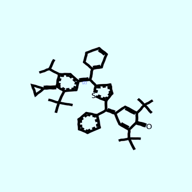 CC(C)c1c/c(=C(\C2=CC=CCC2)c2ccc(C(=C3C=C(C(C)(C)C)C(=O)C(C(C)(C)C)=C3)c3ccccc3)s2)cc(C(C)(C)C)c1=C1CC1